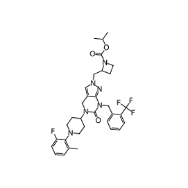 Cc1cccc(F)c1N1CCC(N2Cc3cn(CC4CCN4C(=O)OC(C)C)nc3N(Cc3ccccc3C(F)(F)F)C2=O)CC1